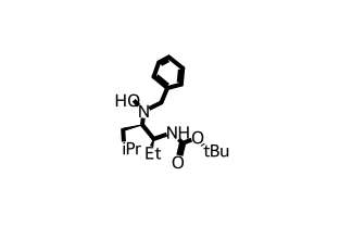 CC[C@H](NC(=O)OC(C)(C)C)[C@@H](CC(C)C)N(O)Cc1ccccc1